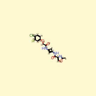 Cc1nc(C(=O)NC23CC(NC(=O)COc4ccc(Cl)c(F)c4)(C2)C3)co1